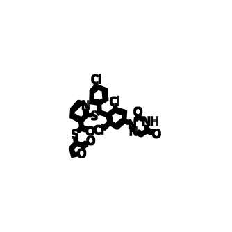 O=C(SC1CCOC1=O)c1cccnc1SC(c1ccc(Cl)cc1)c1c(Cl)cc(-n2ncc(=O)[nH]c2=O)cc1Cl